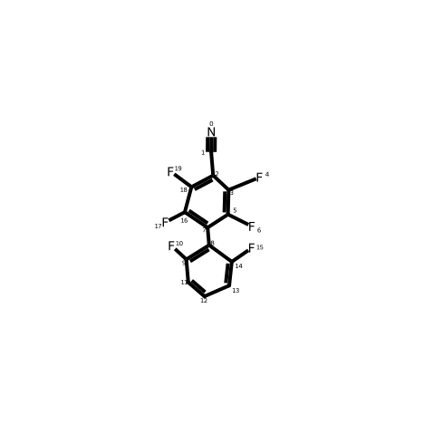 N#Cc1c(F)c(F)c(-c2c(F)cccc2F)c(F)c1F